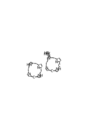 Br.Br.C1=Cc2cc3ccc(cc4nc(cc5ccc(cc1n2)[nH]5)C=C4)[nH]3.C1=Cc2cc3ccc(cc4nc(cc5ccc(cc1n2)[nH]5)C=C4)[nH]3